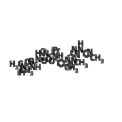 Cc1ccc(Nc2ncc3c(n2)N(C)C(=O)N(c2cc(C(=O)NC(C(=O)N4CCC[C@H]4C(=O)NCC(=O)NC(CC(C)C)C(=O)N(C)C)C(C)C)ccc2C)C3)cn1